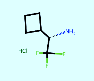 Cl.N[C@@H](C1CCC1)C(F)(F)F